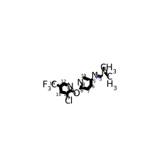 CN(C)/C=N/c1ccc(Oc2ncc(C(F)(F)F)cc2Cl)nc1